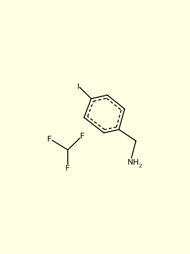 FC(F)F.NCc1ccc(I)cc1